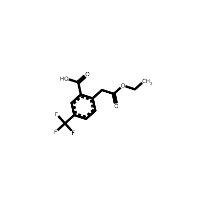 CCOC(=O)Cc1ccc(C(F)(F)F)cc1C(=O)O